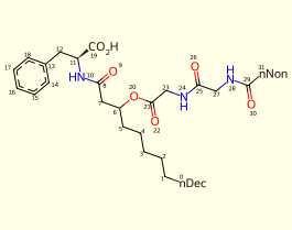 CCCCCCCCCCCCCCCC(CC(=O)N[C@@H](Cc1ccccc1)C(=O)O)OC(=O)CNC(=O)CNC(=O)CCCCCCCCC